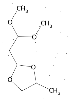 COC(CC1OCC(C)O1)OC